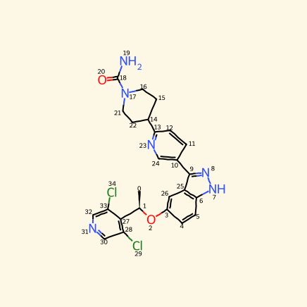 C[C@@H](Oc1ccc2[nH]nc(-c3ccc(C4CCN(C(N)=O)CC4)nc3)c2c1)c1c(Cl)cncc1Cl